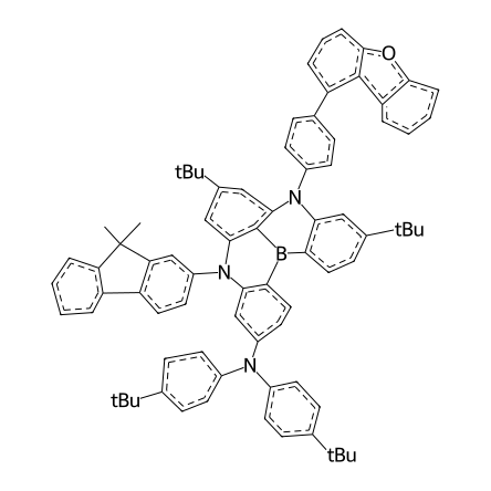 CC(C)(C)c1ccc(N(c2ccc(C(C)(C)C)cc2)c2ccc3c(c2)N(c2ccc4c(c2)C(C)(C)c2ccccc2-4)c2cc(C(C)(C)C)cc4c2B3c2ccc(C(C)(C)C)cc2N4c2ccc(-c3cccc4oc5ccccc5c34)cc2)cc1